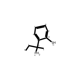 CCC(C)(P)c1ccccc1S